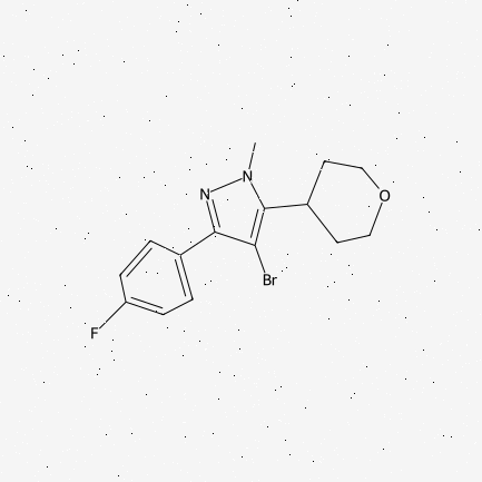 Cn1nc(-c2ccc(F)cc2)c(Br)c1C1CCOCC1